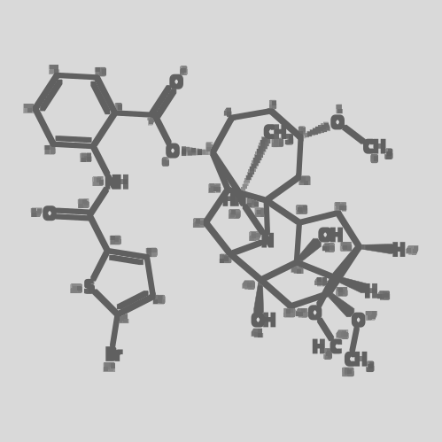 CO[C@H]1CC[C@]2(OC(=O)c3ccccc3NC(=O)c3ccc(Br)s3)C3CC4N(N[C@H]2C)C3(C1)C1C[C@@H]2[C@@H](OC)C[C@@]4(O)[C@@]1(O)[C@H]2OC